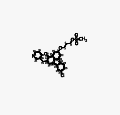 CS(=O)(=O)OCCCOc1cc2c(=O)c(Cc3cccnc3)cn3c4cc(Cl)ccc4c(c1)c23